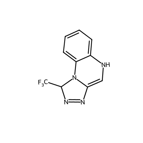 FC(F)(F)C1N=NC2=CNc3ccccc3N21